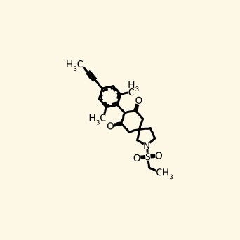 CC#Cc1cc(C)c(C2C(=O)CC3(CCN(S(=O)(=O)CC)C3)CC2=O)c(C)c1